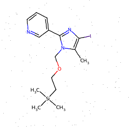 Cc1c(I)nc(-c2cccnc2)n1COCC[Si](C)(C)C